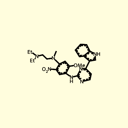 CCN(CC)CCN(C)c1cc(OC)c(Nc2nccc(-c3c[nH]c4ccccc34)n2)cc1[N+](=O)[O-]